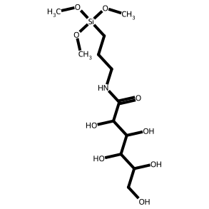 CO[Si](CCCNC(=O)C(O)C(O)C(O)C(O)CO)(OC)OC